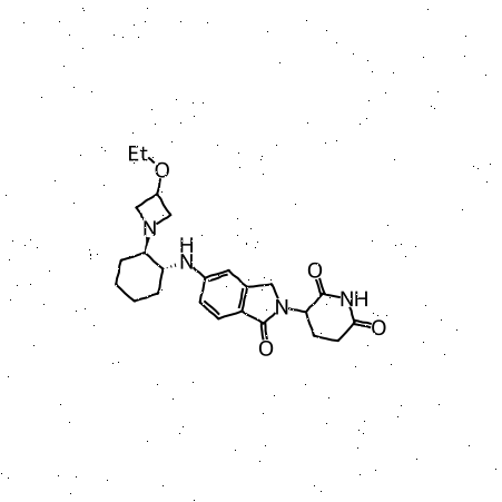 CCOC1CN([C@@H]2CCCC[C@H]2Nc2ccc3c(c2)CN(C2CCC(=O)NC2=O)C3=O)C1